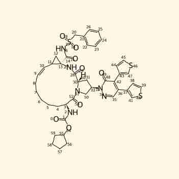 O=C(N[C@H]1CCCCC/C=C\C2C[C@@]2(C(=O)NS(=O)(=O)Cc2ccccc2)NC(=O)[C@@H]2C[C@@H](n3ncc(-c4ccsc4)c(-c4ccsc4)c3=O)CN2C1=O)OC1CCCC1